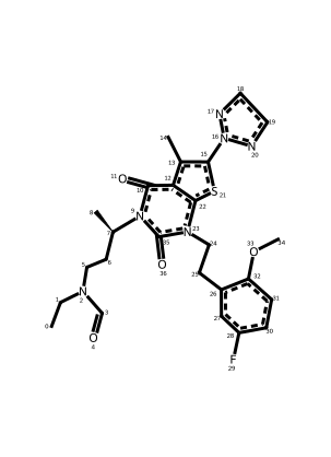 CCN(C=O)CC[C@@H](C)n1c(=O)c2c(C)c(-n3nccn3)sc2n(CCc2cc(F)ccc2OC)c1=O